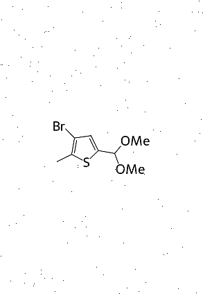 COC(OC)c1cc(Br)c(C)s1